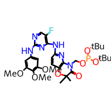 COc1cc(Nc2ncc(F)c(Nc3ccc4c(n3)N(COP(OC(C)(C)C)OC(C)(C)C)C(=O)C(C)(C)O4)n2)cc(OC)c1OC